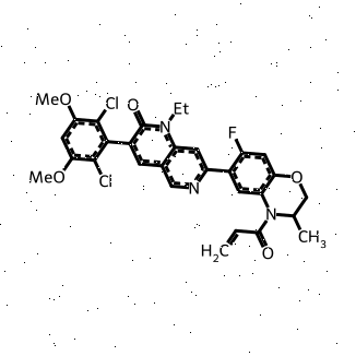 C=CC(=O)N1c2cc(-c3cc4c(cn3)cc(-c3c(Cl)c(OC)cc(OC)c3Cl)c(=O)n4CC)c(F)cc2OCC1C